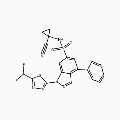 N#CC1(NS(=O)(=O)c2cc(-c3cccnc3)c3cnn(-c4nnc(C(F)F)s4)c3c2)CC1